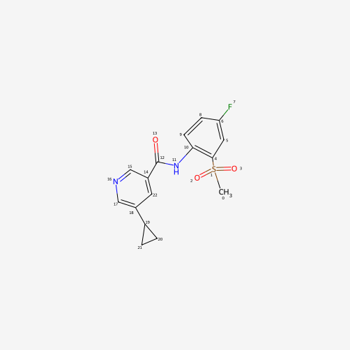 CS(=O)(=O)c1cc(F)ccc1NC(=O)c1cncc(C2CC2)c1